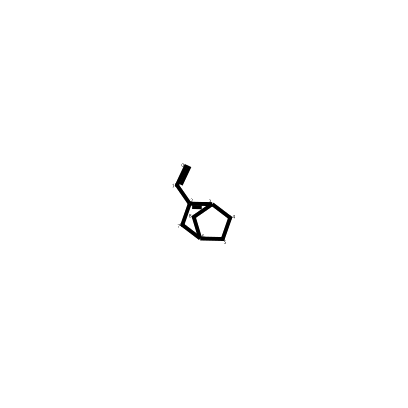 C=CC1=C2CCC(C1)C2